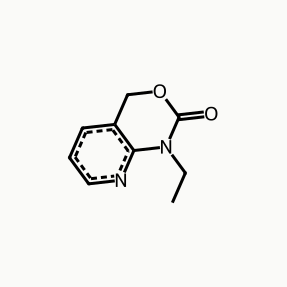 CCN1C(=O)OCc2cccnc21